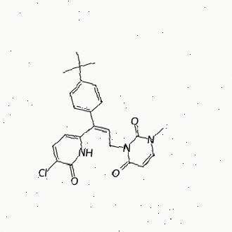 Cn1ccc(=O)n(CC=C(c2ccc(C(C)(C)C)cc2)c2ccc(Cl)c(=O)[nH]2)c1=O